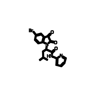 CC(C)CC(C(=O)Nc1ccccn1)N1C(=O)C(=O)c2cc(Br)ccc21